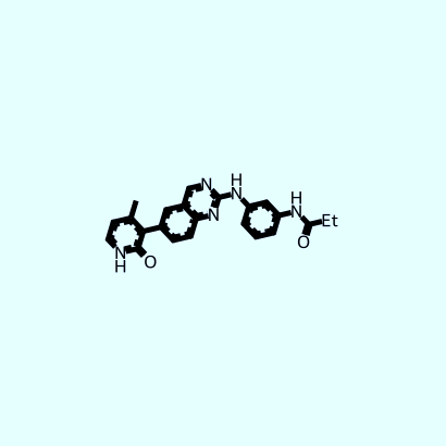 CCC(=O)Nc1cccc(Nc2ncc3cc(-c4c(C)cc[nH]c4=O)ccc3n2)c1